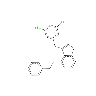 Cc1ccc(CCc2cccc3c2C(Cc2cc(Cl)cc(Cl)c2)=CC3)cc1